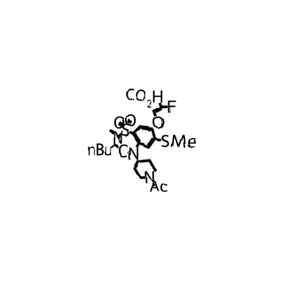 CCCC[C@@H]1CN(C2CCN(C(C)=O)CC2)c2cc(SC)c(O/C=C(\F)C(=O)O)cc2S(=O)(=O)N1C